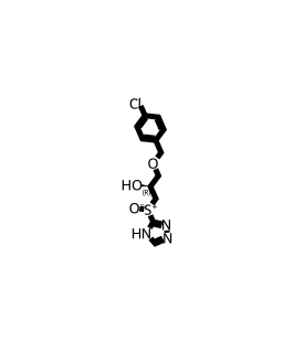 [O-][S+](C[C@H](O)COCc1ccc(Cl)cc1)c1nnc[nH]1